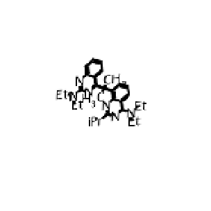 CCN(CC)c1nc(C(C)(C)c2cccc3c(N(CC)CC)nc(C(C)C)nc23)c2ccccc2n1